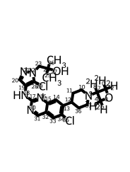 [2H]C1([2H])OC([2H])([2H])C1([2H])N1CCC(c2cc3nc(Nc4cnn(CC(C)(C)O)c4Cl)ncc3cc2Cl)CC1